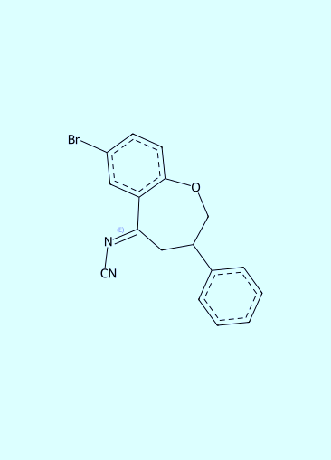 N#C/N=C1\CC(c2ccccc2)COc2ccc(Br)cc21